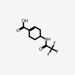 O=C(O)C1=CCC(NC(=O)C(F)(F)F)CC1